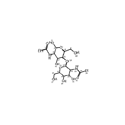 CCC(=O)NC1C(O)OC(CO)C(OC2OC(CO)C(O)C(O)C2NC(=O)CC)C1O